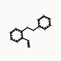 [CH]=Cc1ccccc1CCc1[c]cccc1